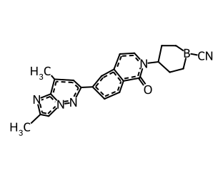 Cc1cn2nc(-c3ccc4c(=O)n(C5CCB(C#N)CC5)ccc4c3)cc(C)c2n1